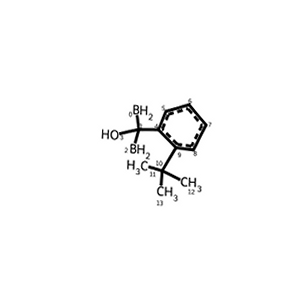 BC(B)(O)c1ccccc1C(C)(C)C